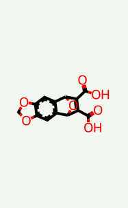 O=C(O)C1=C(C(=O)O)C2OC1c1cc3c(cc12)OCO3